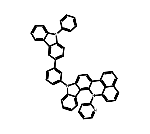 c1ccc(-n2c3ccccc3c3cc(-c4cccc(-n5c6ccccc6c6c7c(ccc65)-c5cccc6cccc(c56)N7c5ccccn5)c4)ccc32)cc1